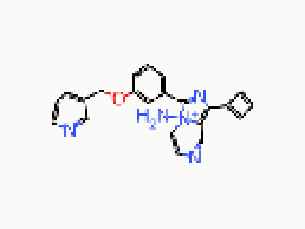 N[N+]12C=CN=CC1=C(C1=CC=C1)N=C2c1cccc(OCc2cccnc2)c1